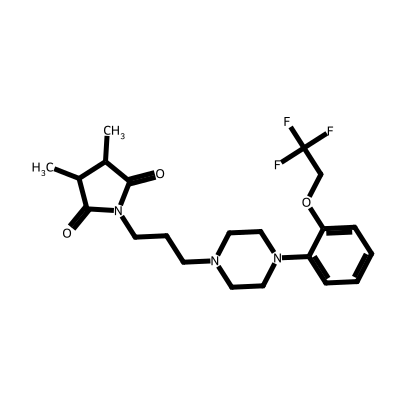 CC1C(=O)N(CCCN2CCN(c3ccccc3OCC(F)(F)F)CC2)C(=O)C1C